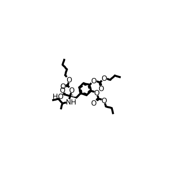 CCCCOC(=O)O[C@](Cc1ccc(OC(=O)OCCC)c(OC(=O)OCCC)c1)(NC(C)CC)C(=O)O